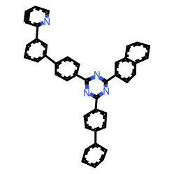 c1ccnc(-c2cccc(-c3ccc(-c4nc(-c5ccc(-c6ccccc6)cc5)nc(-c5ccc6ccccc6c5)n4)cc3)c2)c#1